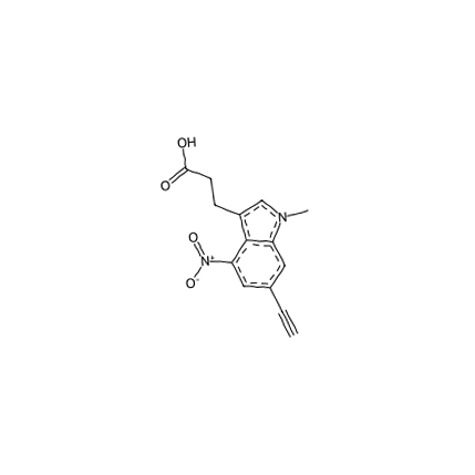 C#Cc1cc([N+](=O)[O-])c2c(CCC(=O)O)cn(C)c2c1